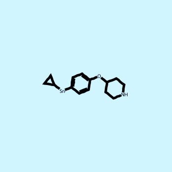 c1c[c]([Sn][CH]2CC2)ccc1OC1CCNCC1